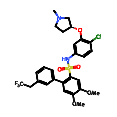 COc1cc(-c2cccc(CC(F)(F)F)c2)c(S(=O)(=O)Nc2ccc(Cl)c(O[C@@H]3CCN(C)C3)c2)cc1OC